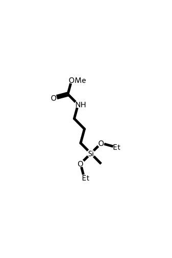 CCO[Si](C)(CCCNC(=O)OC)OCC